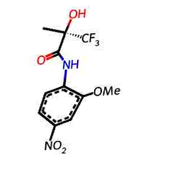 COc1cc([N+](=O)[O-])ccc1NC(=O)[C@@](C)(O)C(F)(F)F